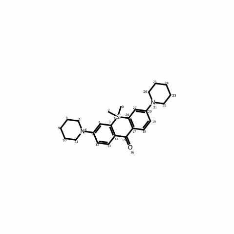 C[Si]1(C)c2cc(N3CCCCC3)ccc2C(=O)c2ccc(N3CCCCC3)cc21